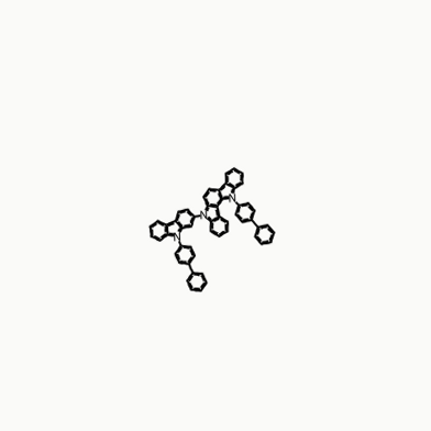 c1ccc(-c2ccc(-n3c4ccccc4c4ccc(-n5c6ccccc6c6c5ccc5c7ccccc7n(-c7ccc(-c8ccccc8)cc7)c56)cc43)cc2)cc1